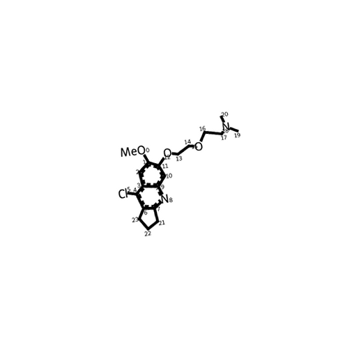 COc1cc2c(Cl)c3c(nc2cc1OCCOCCN(C)C)CCC3